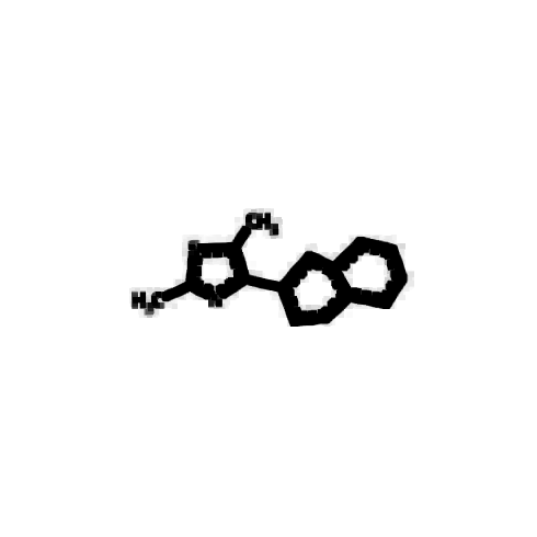 Cc1nc(-c2ccc3ccccc3c2)c(C)s1